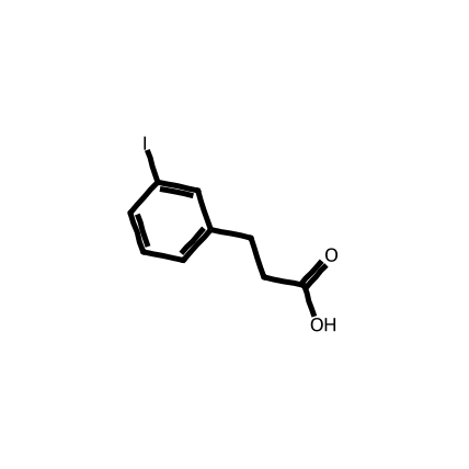 O=C(O)CCc1cccc(I)c1